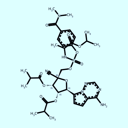 CC(C)OC(=O)C(C)NP(=O)(OC[C@@]1(C#N)O[C@@H](c2ccc3c(N)ncnn23)[C@H](OC(=O)C(C)C)[C@@H]1OC(=O)C(C)C)Oc1ccc(C(=O)N(C)C)cc1